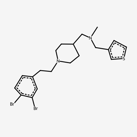 CN(Cc1ccsc1)CC1CCN(CCc2ccc(Br)c(Br)c2)CC1